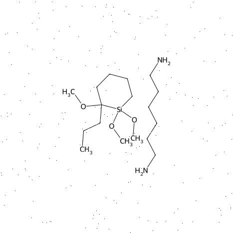 CCCC1(OC)CCCC[Si]1(OC)OC.NCCCCCCN